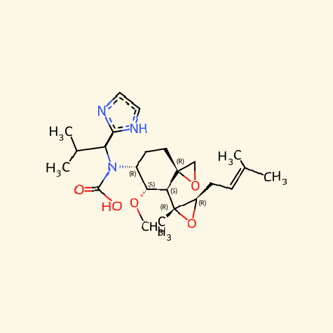 CO[C@@H]1[C@H](N(C(=O)O)C(c2ncc[nH]2)C(C)C)CC[C@]2(CO2)[C@H]1[C@@]1(C)O[C@@H]1CC=C(C)C